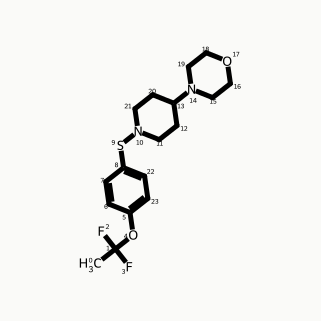 CC(F)(F)Oc1ccc(SN2CCC(N3CCOCC3)CC2)cc1